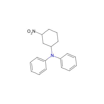 O=[N+]([O-])C1CCCC(N(c2ccccc2)c2ccccc2)C1